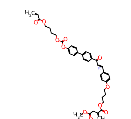 C=CC(=O)OCCCCOC(=O)Oc1ccc(-c2ccc(C(=O)/C=C/c3ccc(OCCCCOC(=O)C(=C)CC(=O)OC)cc3)cc2)cc1